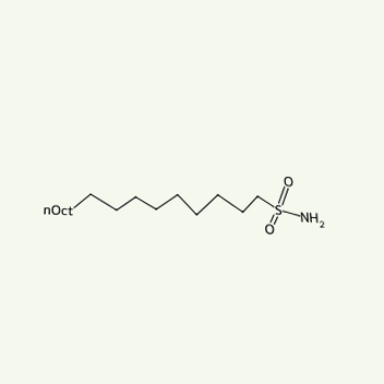 CCCCCCCCCCCCCCCCCS(N)(=O)=O